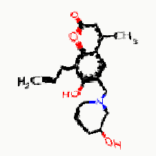 C=CCc1c(O)c(CN2CCCC(O)C2)cc2c(C)cc(=O)oc12